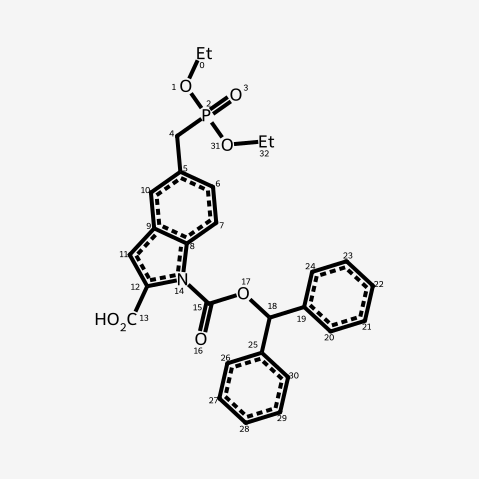 CCOP(=O)(Cc1ccc2c(c1)cc(C(=O)O)n2C(=O)OC(c1ccccc1)c1ccccc1)OCC